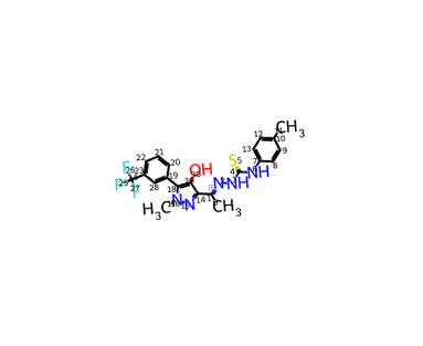 C/C(=N\NC(=S)Nc1ccc(C)cc1)c1nn(C)c(-c2cccc(C(F)(F)F)c2)c1O